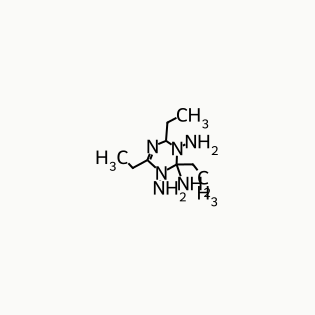 CCC1=NC(CC)N(N)C(N)(CC)N1N